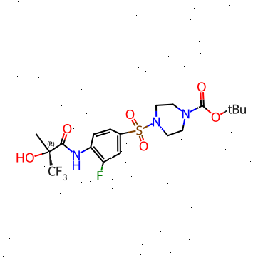 CC(C)(C)OC(=O)N1CCN(S(=O)(=O)c2ccc(NC(=O)[C@@](C)(O)C(F)(F)F)c(F)c2)CC1